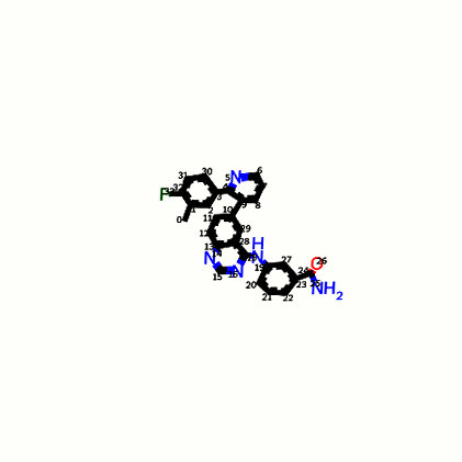 Cc1cc(-c2ncccc2-c2ccc3ncnc(Nc4cccc(C(N)=O)c4)c3c2)ccc1F